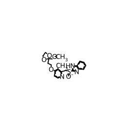 COCC1(CCOc2ccnc(C[S+]([O-])c3nc4ccccc4[nH]3)c2C)OCCO1